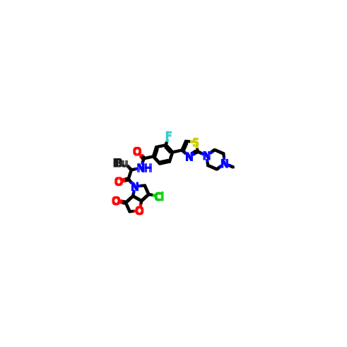 CCC(C)C(NC(=O)c1ccc(-c2csc(N3CCN(C)CC3)n2)c(F)c1)C(=O)N1CC(Cl)C2OCC(=O)C21